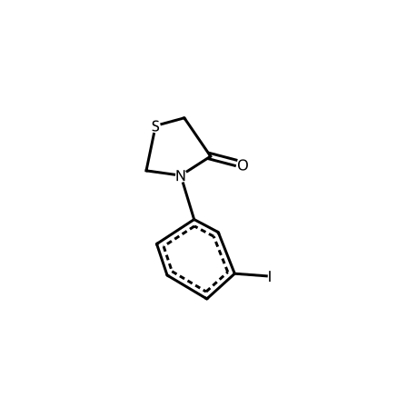 O=C1CSCN1c1cccc(I)c1